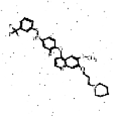 COc1cc2c(Oc3ccc(NSc4cccc(C(F)(F)F)c4)cc3F)ccnc2cc1OCCCN1CCCCC1